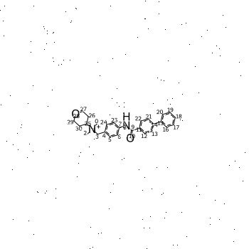 C[N+](C)(Cc1ccc(NC(=O)c2ccc(-c3ccccc3)cc2)cc1)C1CCOCC1